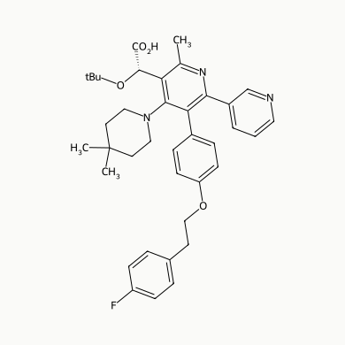 Cc1nc(-c2cccnc2)c(-c2ccc(OCCc3ccc(F)cc3)cc2)c(N2CCC(C)(C)CC2)c1[C@H](OC(C)(C)C)C(=O)O